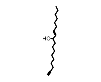 C#CCCCCCCCC(O)C=CCCCCCC